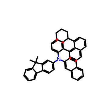 CC1(C)c2ccccc2-c2ccc(N(c3ccc4ccccc4c3)c3ccccc3-c3cccc4cccc(C5CCCCC5)c34)cc21